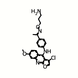 COc1ccc2c(Nc3ccc(C(C)=NOCCCN)cc3)c3c(Cl)coc3nc2c1